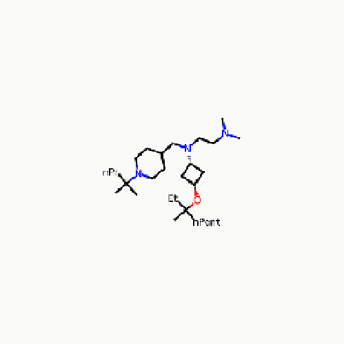 CCCCCC(C)(CC)O[C@H]1C[C@H](N(CCN(C)C)CC2CCN(C(C)(C)CCC)CC2)C1